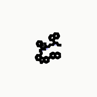 C=C/C=C(\CCC/C(N)=N/C(=N\Cc1cccc2oc3ccc(-c4ccc5c(c4)CCC=C5)cc3c12)c1ccccc1)c1cccc2ccccc12